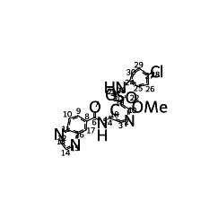 COc1ncc(NC(=O)c2ccc3nccnc3c2)cc1S(=O)(=O)Nc1ccc(Cl)cc1